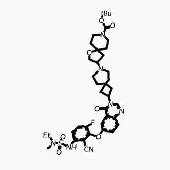 CCN(C)S(=O)(=O)Nc1ccc(F)c(Oc2ccc3ncn(C4CC5(CCN(C6COC7(CCN(C(=O)OC(C)(C)C)CC7)C6)CC5)C4)c(=O)c3c2)c1C#N